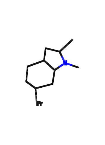 CC(C)C1CCC2CC(C)N(C)C2C1